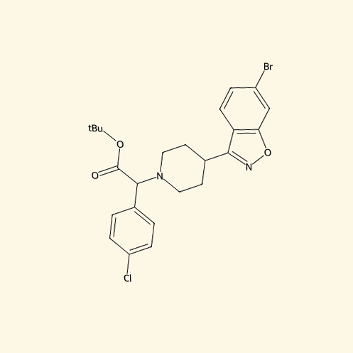 CC(C)(C)OC(=O)C(c1ccc(Cl)cc1)N1CCC(c2noc3cc(Br)ccc23)CC1